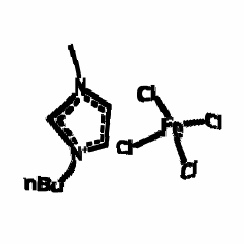 CCCC[n+]1ccn(C)c1.[Cl][Fe]([Cl])([Cl])[Cl]